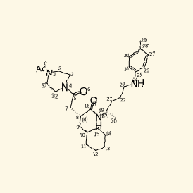 CC(=O)N1CCN(C(=O)C[C@@H](CC2CCCCC2)C(=O)N[C@@H](C)CCCNc2ccc(C)cc2)CC1